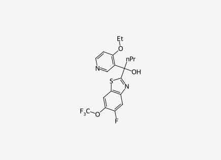 CCCC(O)(c1nc2cc(F)c(OC(F)(F)F)cc2s1)c1cnccc1OCC